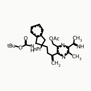 C=C(CCC1(CCC)Cc2ccccc2[C@H]1NC(=O)OC(C)(C)C)c1nc(C)c(C(C)=N)nc1COC(C)=O